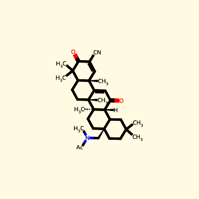 CC(=O)N(C)C[C@]12CCC(C)(C)CC1[C@H]1C(=O)C=C3[C@@]4(C)C=C(C#N)C(=O)C(C)(C)C4CC[C@@]3(C)[C@]1(C)CC2